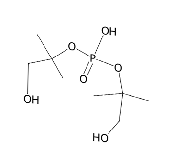 CC(C)(CO)OP(=O)(O)OC(C)(C)CO